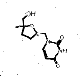 CC1(CO)CC[C@H](Cn2ccc(=O)[nH]c2=O)O1